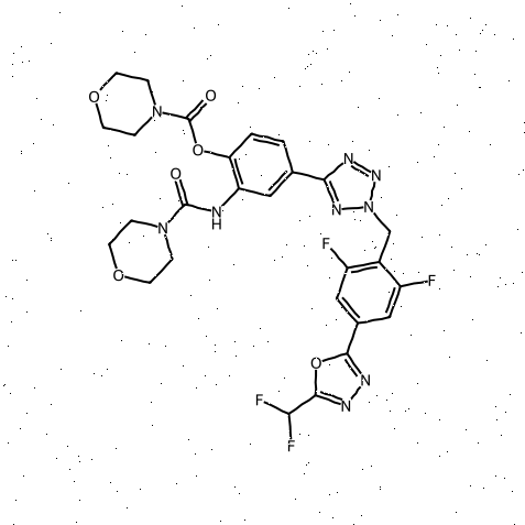 O=C(Nc1cc(-c2nnn(Cc3c(F)cc(-c4nnc(C(F)F)o4)cc3F)n2)ccc1OC(=O)N1CCOCC1)N1CCOCC1